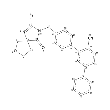 CCC1=NC2(CCOC2)C(=O)N1Cc1ccc(-c2cc(-c3ccccc3)ccc2C#N)cc1